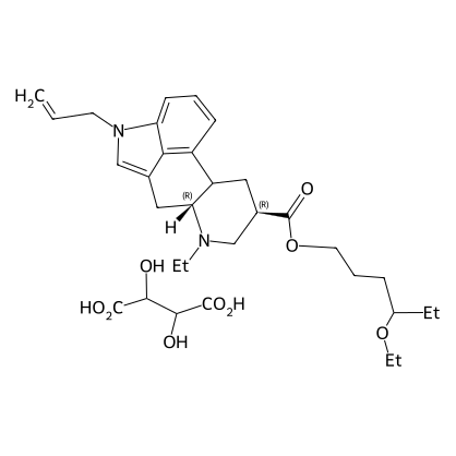 C=CCn1cc2c3c(cccc31)C1C[C@@H](C(=O)OCCCC(CC)OCC)CN(CC)[C@@H]1C2.O=C(O)C(O)C(O)C(=O)O